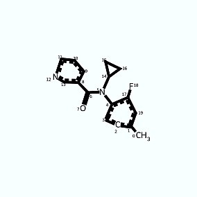 Cc1ccc(N(C(=O)c2cccnc2)C2CC2)c(F)c1